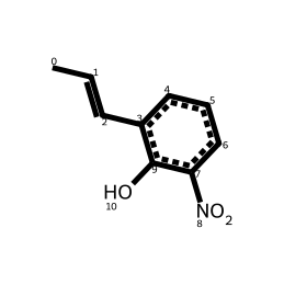 CC=Cc1cccc([N+](=O)[O-])c1O